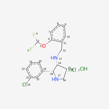 Cl.Cl.FC(F)Oc1ccccc1CN[C@@H]1CCN[C@@H]1c1cccc(Cl)c1